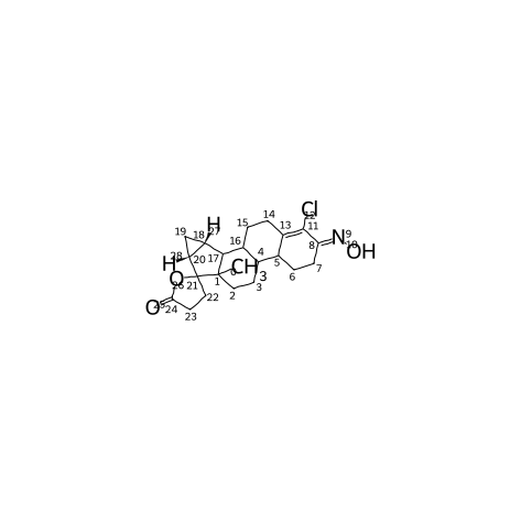 CC12CCC3C4CC/C(=N\O)C(Cl)=C4CCC3C1[C@H]1C[C@H]1C21CCC(=O)O1